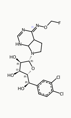 O[C@@H]1[C@H](O)[C@@H]([C@H](O)c2ccc(Cl)c(Cl)c2)O[C@H]1N1CCC2/C(=N\OCF)N=CNC21